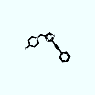 FC1CCN(Cc2cnc(C#Cc3ccccc3)s2)CC1